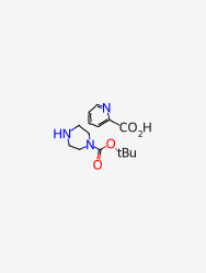 CC(C)(C)OC(=O)N1CCNCC1.O=C(O)c1ccccn1